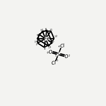 O=S(=O)(Cl)Cl.[CH]12[CH]3[CH]4[CH]5[CH]1[Fe]23451678[CH]2[CH]1[CH]6[CH]7[CH]28